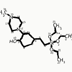 CCO[Si](CCC1CCC(O)C(N2CCN(C)CC2)C1)(OCC)OCC